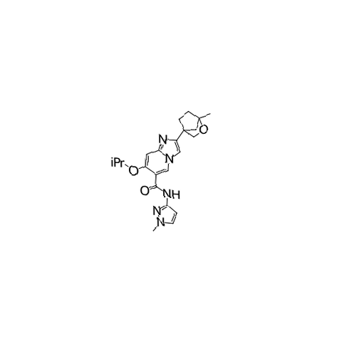 CC(C)Oc1cc2nc(C34CCC(C)(C3)OC4)cn2cc1C(=O)Nc1ccn(C)n1